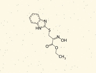 CCOC(=O)C(CSc1nc2ccccc2[nH]1)=NO